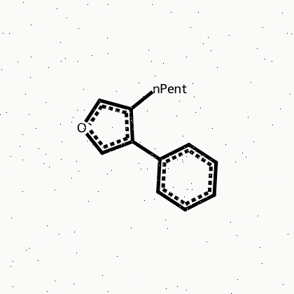 CCCCCc1cocc1-c1ccccc1